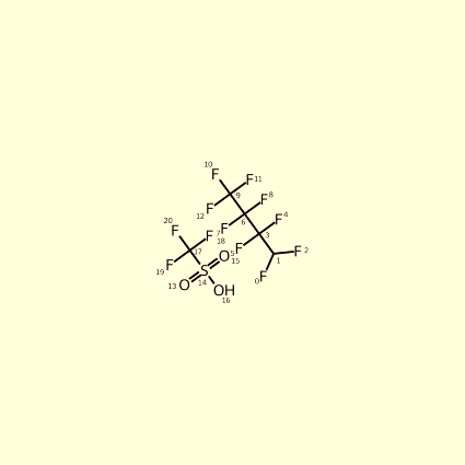 FC(F)C(F)(F)C(F)(F)C(F)(F)F.O=S(=O)(O)C(F)(F)F